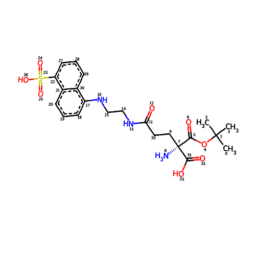 CC(C)(C)OC(=O)[C@](N)(CCC(=O)NCCNc1cccc2c(S(=O)(=O)O)cccc12)C(=O)O